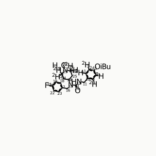 [2H]c1c([2H])c(OCC(C)C)c([2H])c([2H])c1CNC(=O)N(Cc1ccc(F)cc1)C1CC([2H])([2H])N(C)C([2H])([2H])C1